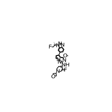 COc1nc(N[C@H]2CCN(C3COC3)C[C@@H]2F)nn2ccc(-c3ccc4nnn([C@@H](C)CF)c4c3)c12